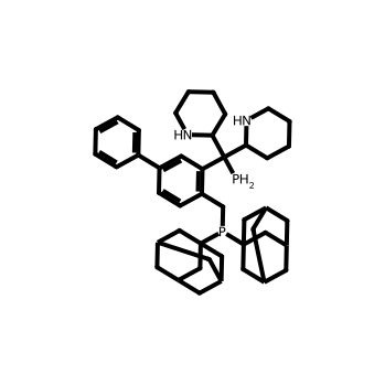 PC(c1cc(-c2ccccc2)ccc1CP(C12CC3CC(CC(C3)C1)C2)C12CC3CC(CC(C3)C1)C2)(C1CCCCN1)C1CCCCN1